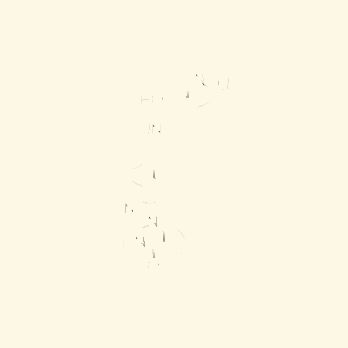 CN(Cc1nc2ccsc2c(=O)[nH]1)C(=O)c1ccc(CCNC[C@H](O)c2ccc(Cl)nc2)cc1